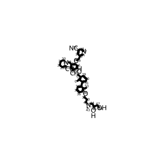 Cc1c(COc2cc(OCc3cncc(C#N)c3)c(CN3CCCC[C@H]3C(=O)O)cc2Cl)cccc1-c1cccc(OCCCN(C)CC(O)CO)c1C